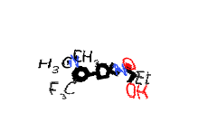 CC[C@H](CO)C(=O)N1CC2(CCC(c3cc(N(C)C)cc(C(F)(F)F)c3)CC2)C1